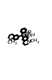 CN1CCCc2cc(C(c3ccc4c(c3)CCCN4C)c3ccccc3S(=O)(=O)O)ccc21